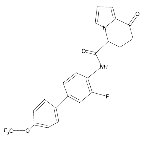 O=C1CCC(C(=O)Nc2ccc(-c3ccc(OC(F)(F)F)cc3)cc2F)n2cccc21